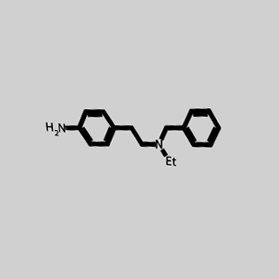 CCN(CCc1ccc(N)cc1)Cc1ccccc1